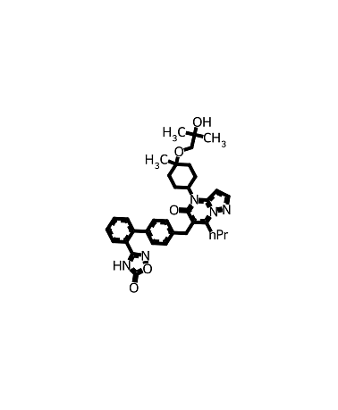 CCCc1c(Cc2ccc(-c3ccccc3-c3noc(=O)[nH]3)cc2)c(=O)n(C2CCC(C)(OCC(C)(C)O)CC2)c2ccnn12